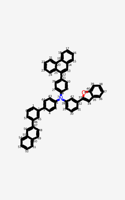 c1cc(-c2ccc(N(c3ccc(-c4cc5ccccc5c5ccccc45)cc3)c3cccc(-c4cc5ccccc5o4)c3)cc2)cc(-c2ccc3ccccc3c2)c1